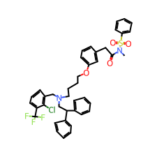 CN(C(=O)Cc1cccc(OCCCCN(Cc2cccc(C(F)(F)F)c2Cl)CC(c2ccccc2)c2ccccc2)c1)S(=O)(=O)c1ccccc1